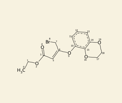 CCOC(=O)C=C(CBr)Oc1cccc2c1OCCO2